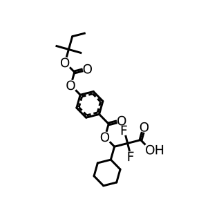 CCC(C)(C)OC(=O)Oc1ccc(C(=O)OC(C2CCCCC2)C(F)(F)C(=O)O)cc1